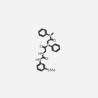 CSc1cccc(NC(=O)NCC(=O)N(CC(=O)N(C)c2ccccc2)c2ccccc2)c1